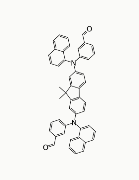 CC1(C)c2cc(N(c3cccc(C=O)c3)c3cccc4ccccc34)ccc2-c2ccc(N(c3cccc(C=O)c3)c3cccc4ccccc34)cc21